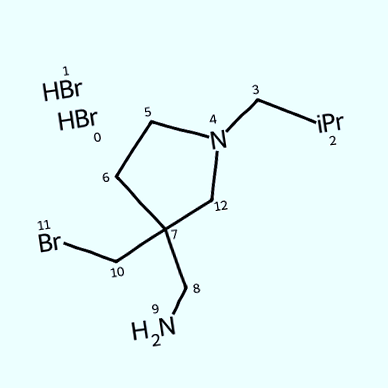 Br.Br.CC(C)CN1CCC(CN)(CBr)C1